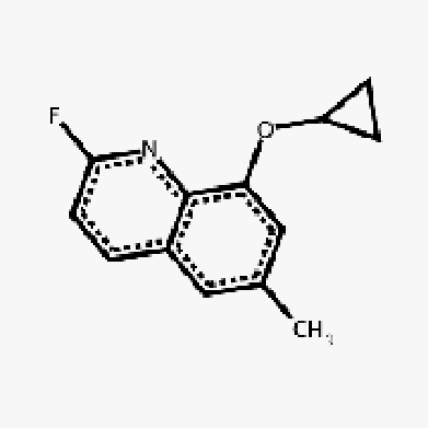 Cc1cc(OC2CC2)c2nc(F)ccc2c1